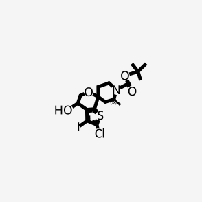 C[C@H]1CC2(CCN1C(=O)OC(C)(C)C)OCC(O)c1c2sc(Cl)c1I